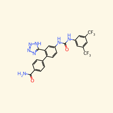 NC(=O)c1ccc(-c2ccc(NC(=O)Nc3cc(C(F)(F)F)cc(C(F)(F)F)c3)cc2-c2nnn[nH]2)cc1